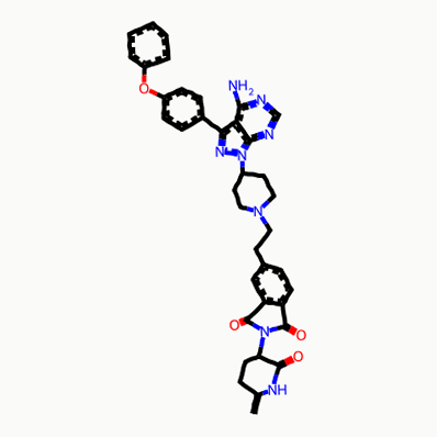 C=C1CCC(N2C(=O)c3ccc(CCN4CCC(n5nc(-c6ccc(Oc7ccccc7)cc6)c6c(N)ncnc65)CC4)cc3C2=O)C(=O)N1